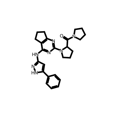 O=C(C1CCCN1c1nc2c(c(Nc3cc(-c4ccccc4)[nH]n3)n1)CCC2)N1CCCC1